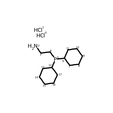 Cl.Cl.NCCP(C1CCCCC1)C1CCCCC1